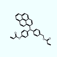 C=CC(=O)OCc1ccc(N(c2ccc(OC(=O)C=C)cc2)c2ccc3ccc4cccc5ccc2c3c45)cc1